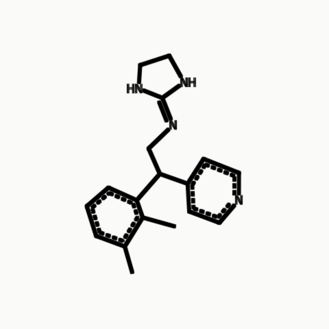 Cc1cccc(C(CN=C2NCCN2)c2ccncc2)c1C